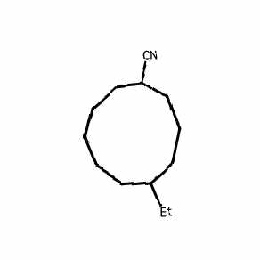 CCC1CCCCCC(C#N)CCC1